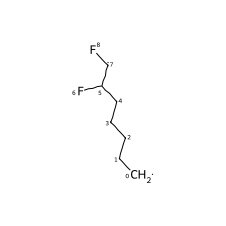 [CH2]CCCCC(F)[CH]F